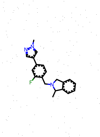 CC1c2ccccc2CN1Cc1ccc(-c2cnn(C)c2)cc1F